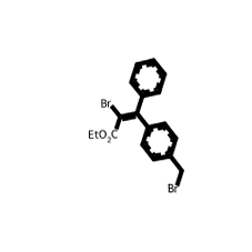 CCOC(=O)C(Br)=C(c1ccccc1)c1ccc(CBr)cc1